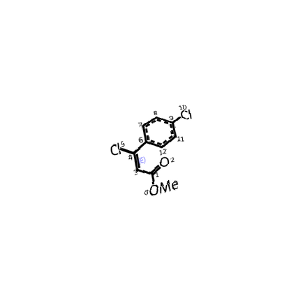 COC(=O)/C=C(/Cl)c1ccc(Cl)cc1